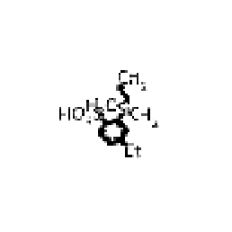 C=CC[Si](C)(C)c1cc(CC)ccc1S(=O)(=O)O